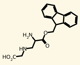 NC(CNCC(=O)O)C(=O)OCC1c2ccccc2-c2ccccc21